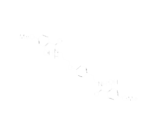 COc1ccc(C(=O)NCCCOc2ccc(CCNC(=O)c3ccc(OC)cc3O)cc2)c(O)c1